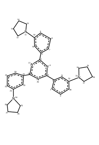 c1cc(-c2nc(-c3cccc(N4CCCC4)c3)nc(-c3cccc(N4CCCC4)c3)n2)cc(N2CCCC2)c1